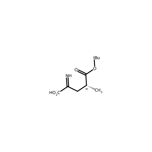 C[C@H](CC(=N)C(=O)O)C(=O)OC(C)(C)C